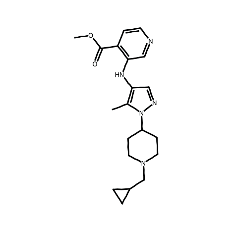 COC(=O)c1ccncc1Nc1cnn(C2CCN(CC3CC3)CC2)c1C